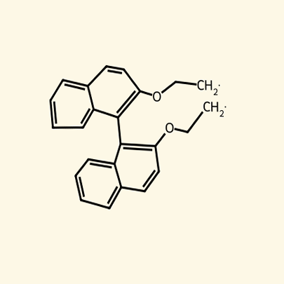 [CH2]COc1ccc2ccccc2c1-c1c(OC[CH2])ccc2ccccc12